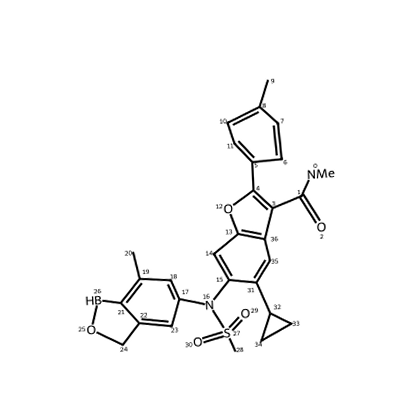 CNC(=O)c1c(-c2ccc(C)cc2)oc2cc(N(c3cc(C)c4c(c3)COB4)S(C)(=O)=O)c(C3CC3)cc12